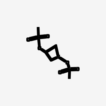 CS(=O)(=O)OC1CN(OS(C)(=O)=O)C1